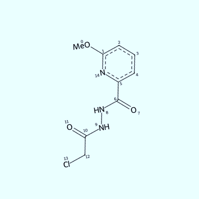 COc1cccc(C(=O)NNC(=O)CCl)n1